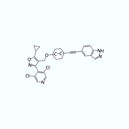 Clc1cncc(Cl)c1-c1noc(C2CC2)c1COC12CCC(C#Cc3ccc4[nH]ncc4c3)(CC1)CC2